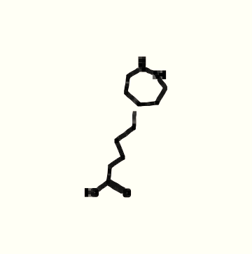 C1CCNNCC1.CCCCCC(=O)O